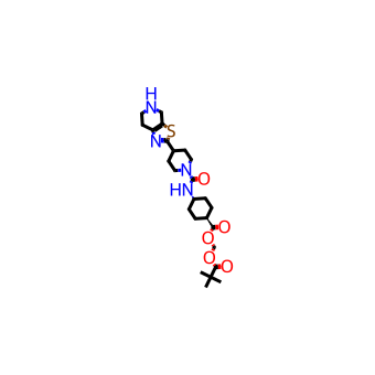 CC(C)(C)C(=O)OCOC(=O)[C@H]1CC[C@H](NC(=O)N2CCC(c3nc4c(s3)CNCC4)CC2)CC1